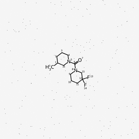 CC1CCCN(C(=O)N2CCCC(F)(F)C2)C1